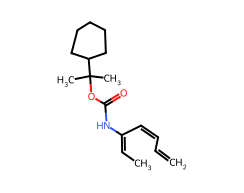 C=C/C=C\C(=C/C)NC(=O)OC(C)(C)C1CCCCC1